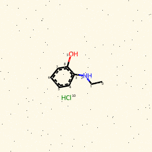 CCNc1ccccc1O.Cl